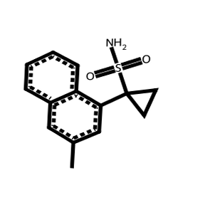 Cc1cc(C2(S(N)(=O)=O)CC2)c2ccccc2c1